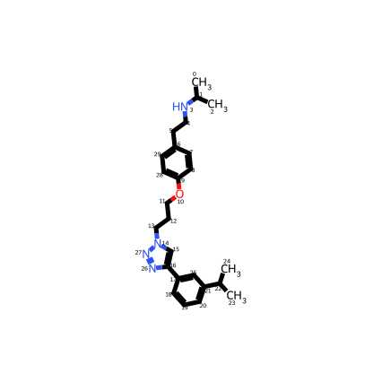 CC(C)NCCc1ccc(OCCCn2cc(-c3cccc(C(C)C)c3)nn2)cc1